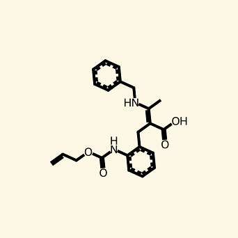 C=CCOC(=O)Nc1ccccc1CC(C(=O)O)=C(C)NCc1ccccc1